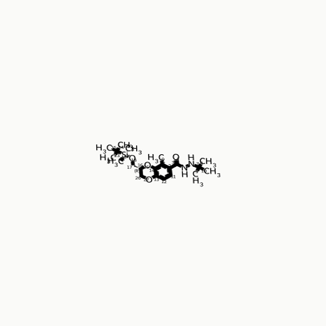 Cc1c(C(=O)NNC(C)(C)C)ccc2c1O[C@@H](CO[Si](C)(C)C(C)(C)C)CO2